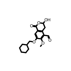 COc1c(OCC2CCCCC2)cc2c(c1C=O)CC(O)OC2=O